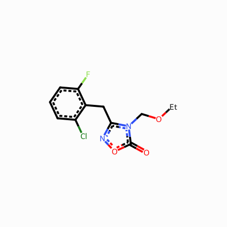 CCOCn1c(Cc2c(F)cccc2Cl)noc1=O